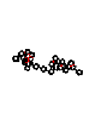 c1ccc(-c2cccc(-c3ccccc3N(c3ccc(-c4ccc(-c5cccc6c5c5cccc7c5n6-c5ccccc5C75c6ccccc6-c6ccc(N(c7ccccc7)c7ccccc7-c7cccc(-c8ccccc8)c7)cc65)cc4)cc3)c3ccc4c(c3)C3(c5ccccc5-4)c4ccccc4-n4c5ccccc5c5cccc3c54)c2)cc1